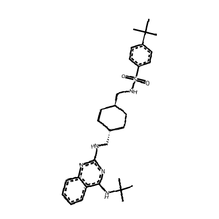 CC(C)(C)Nc1nc(NC[C@H]2CC[C@H](CNS(=O)(=O)c3ccc(C(C)(C)C)cc3)CC2)nc2ccccc12